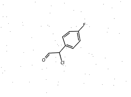 O=CC(Cl)c1ccc(F)cc1